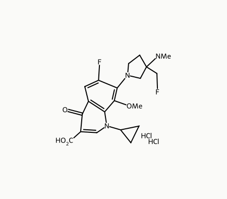 CNC1(CF)CCN(c2c(F)cc3c(=O)c(C(=O)O)cn(C4CC4)c3c2OC)C1.Cl.Cl